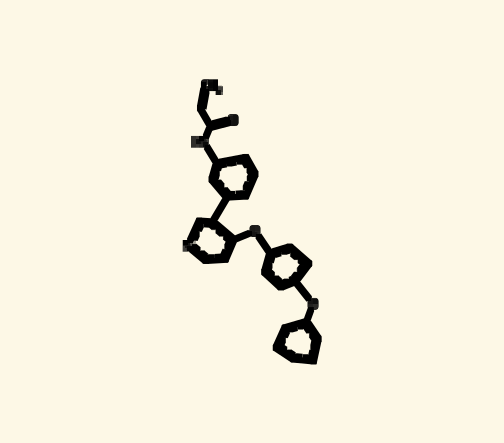 C=CC(=O)Nc1cccc(-c2cnccc2Oc2ccc(Oc3ccccc3)cc2)c1